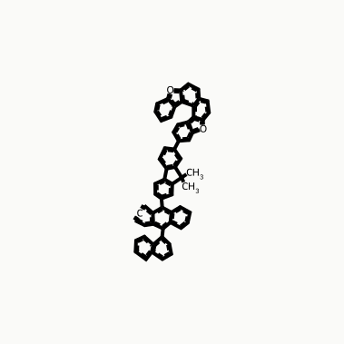 CC1(C)c2cc(-c3ccc4c(c3)oc3ccc5ccc6oc7ccccc7c6c5c34)ccc2-c2ccc(-c3c4ccccc4c(-c4cccc5ccccc45)c4ccccc34)cc21